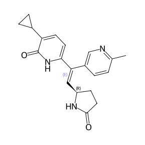 Cc1ccc(/C(=C\[C@H]2CCC(=O)N2)c2ccc(C3CC3)c(=O)[nH]2)cn1